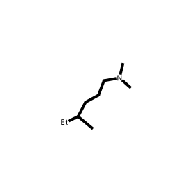 CC[C](C)CCCN(C)C